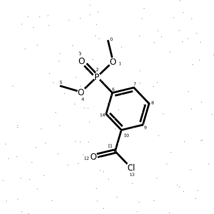 COP(=O)(OC)c1cccc(C(=O)Cl)c1